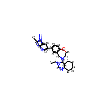 CCN1C=NC2=C(CCCCC2)C1N1CCOc2ccc(-c3cnc4nc(C)[nH]c4c3)cc2C1